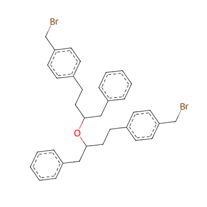 BrCc1ccc(CCC(Cc2ccccc2)OC(CCc2ccc(CBr)cc2)Cc2ccccc2)cc1